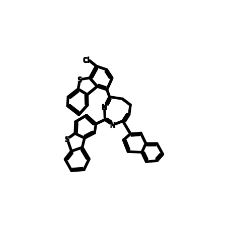 Clc1ccc(/C2=N/C(c3ccc4sc5ccccc5c4c3)=N\C(c3ccc4ccccc4c3)=C/CC2)c2c1sc1ccccc12